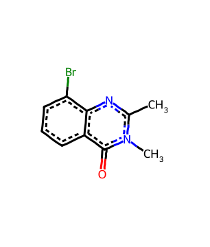 Cc1nc2c(Br)cccc2c(=O)n1C